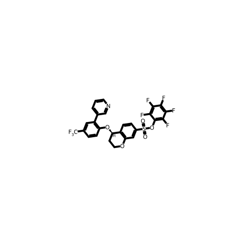 O=S(=O)(Oc1c(F)c(F)c(F)c(F)c1F)c1ccc2c(c1)OCC[C@H]2Oc1ccc(C(F)(F)F)cc1-c1cccnc1